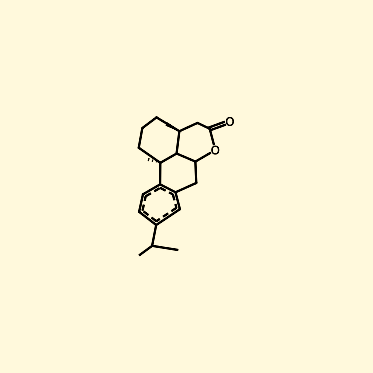 CC(C)c1ccc2c(c1)CC1OC(=O)C[C@@]3(C)CCC[C@@]2(C)C13